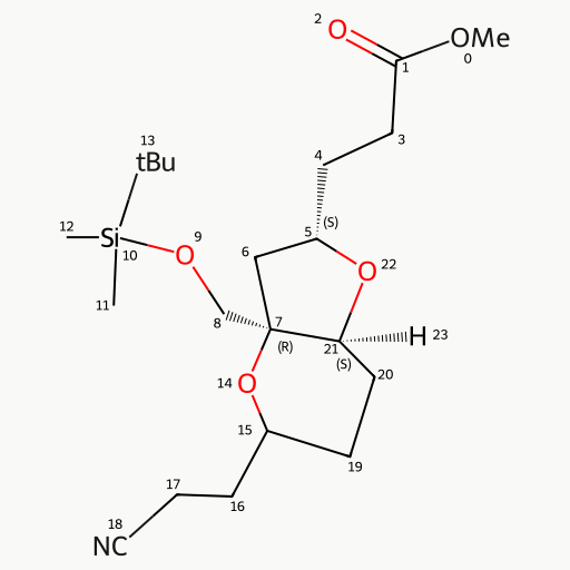 COC(=O)CC[C@H]1C[C@]2(CO[Si](C)(C)C(C)(C)C)OC(CCC#N)CC[C@@H]2O1